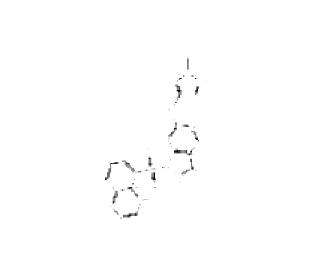 Cn1cc(Nc2cc3c(cn2)cnn3S(=O)(=O)c2cccc3cccnc23)cn1